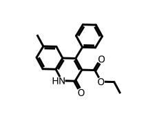 CCOC(=O)c1c(-c2ccccc2)c2cc(C)ccc2[nH]c1=O